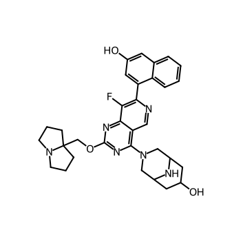 Oc1cc(-c2ncc3c(N4CC5CC(O)CC(C4)N5)nc(OCC45CCCN4CCC5)nc3c2F)c2ccccc2c1